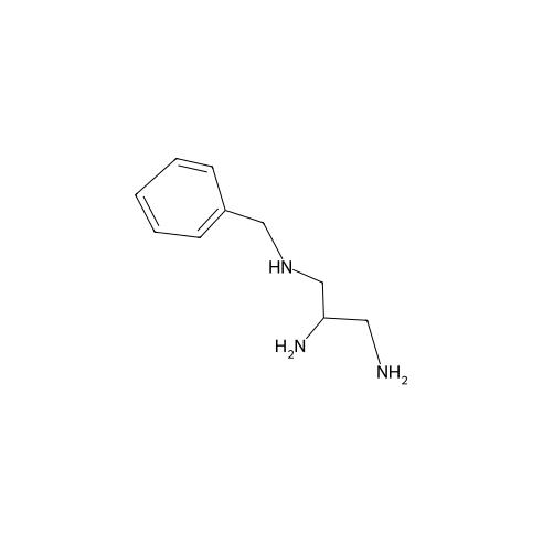 NCC(N)CNCc1ccccc1